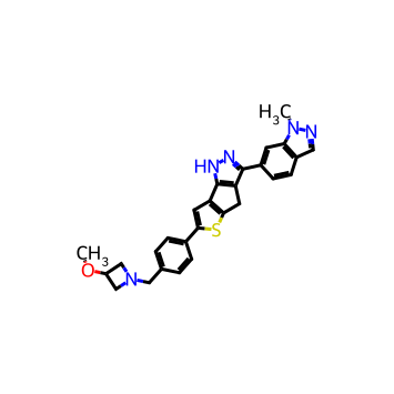 COC1CN(Cc2ccc(-c3cc4c(s3)Cc3c(-c5ccc6cnn(C)c6c5)n[nH]c3-4)cc2)C1